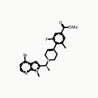 COC(=O)c1cc(C)c(C2=CCN([C@@H](C)c3cc4c(Br)ccnc4n3C)CC2)c(F)c1